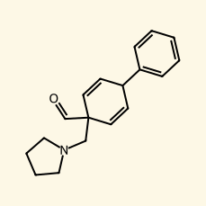 O=CC1(CN2CCCC2)C=CC(c2ccccc2)C=C1